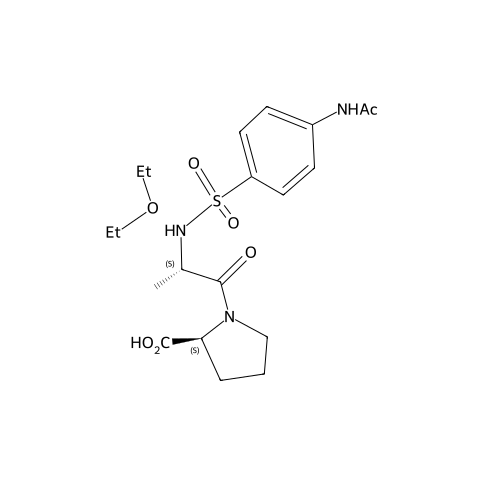 CC(=O)Nc1ccc(S(=O)(=O)N[C@@H](C)C(=O)N2CCC[C@H]2C(=O)O)cc1.CCOCC